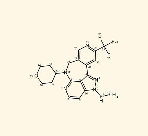 CPn1nc2c3c(nccc31)N(C1CCOCC1)Cc1cnc(C(F)(F)F)cc1-2